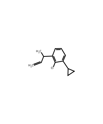 [CH2]C(C=C)c1cccc(C2CC2)c1Cl